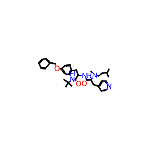 CC(C)CCN(C)C(Cc1ccncc1)C(=O)NC(Cc1ccc(OCc2ccccc2)cc1)C(=O)NC(C)(C)C